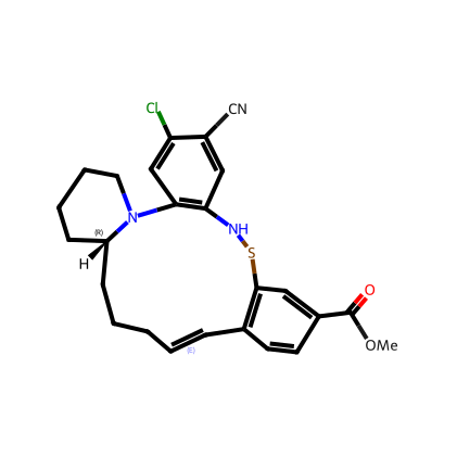 COC(=O)c1ccc2c(c1)SNc1cc(C#N)c(Cl)cc1N1CCCC[C@H]1CCC/C=C/2